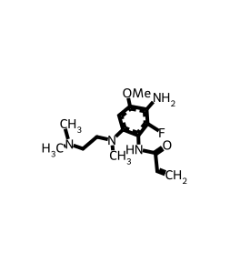 C=CC(=O)Nc1c(N(C)CCN(C)C)cc(OC)c(N)c1F